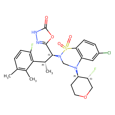 Cc1ccc(F)c([C@@H](C)[C@@H](c2n[nH]c(=O)o2)N2CN([C@@H]3CCOC[C@H]3F)c3cc(Cl)ccc3S2(=O)=O)c1C